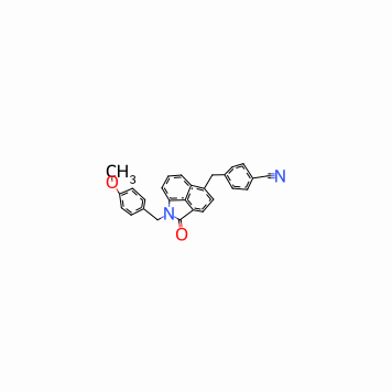 COc1ccc(CN2C(=O)c3ccc(Cc4ccc(C#N)cc4)c4cccc2c34)cc1